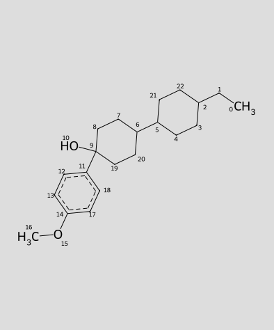 CCC1CCC(C2CCC(O)(c3ccc(OC)cc3)CC2)CC1